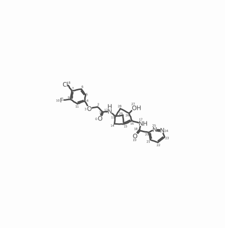 O=C(COc1ccc(Cl)c(F)c1)NC12CC(=C(NC(=O)c3cccnn3)C(O)C1)C2